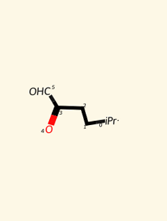 C[C](C)CCC(=O)C=O